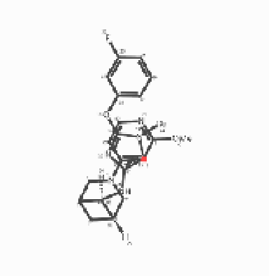 COc1cc(N2CC3C[C@@H](C2)[C@@H]3Nc2nc(Oc3cccc(F)c3)n(C(C)C)n2)ccn1